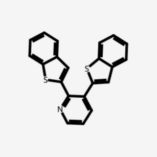 c1cnc(-c2cc3ccccc3s2)c(-c2cc3ccccc3s2)c1